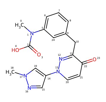 CN(C(=O)O)c1cccc(Cc2nn(-c3cnn(C)c3)ccc2=O)c1